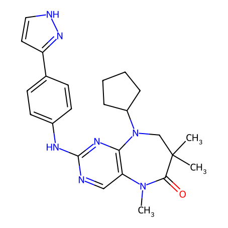 CN1C(=O)C(C)(C)CN(C2CCCC2)c2nc(Nc3ccc(-c4cc[nH]n4)cc3)ncc21